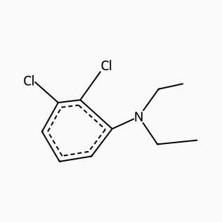 CCN(CC)c1cccc(Cl)c1Cl